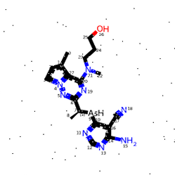 Cc1ccn2nc([C@H](C)[AsH]c3ncnc(N)c3C#N)nc(N(C)CCCO)c12